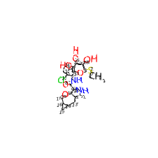 CSC1OC(C(NC(=O)[C@H]2NCC3CC4CC4COC32)C(C)Cl)C(O)C(O)=C1O